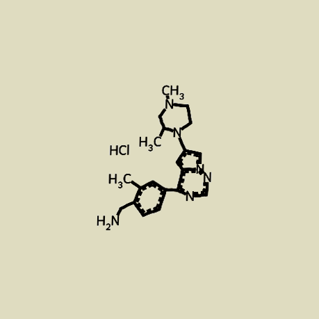 Cc1cc(-c2ncnn3cc(N4CCN(C)CC4C)cc23)ccc1CN.Cl